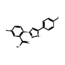 Cc1ccc(-c2cc(-c3ccc(F)cc3)[nH]n2)c(C(=O)O)c1